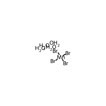 O.O.O.O.[Br][Mn]([Br])([Br])[Br]